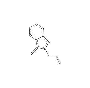 C=CCn1sc2ccccc2c1=O